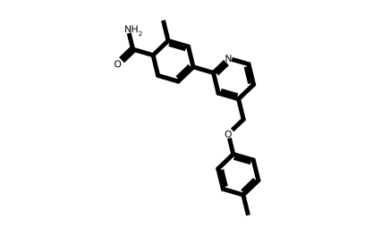 CC1=CC(c2cc(COc3ccc(C)cc3)ccn2)=CCC1C(N)=O